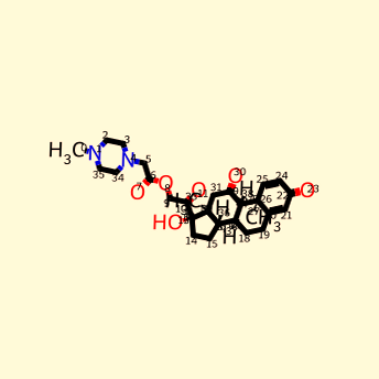 CN1CCN(CC(=O)OCC(=O)[C@@]2(O)CC[C@H]3[C@@H]4CCC5=CC(=O)C=C[C@]5(C)[C@H]4C(=O)C[C@@]32C)CC1